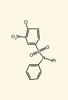 CC(C)N(c1ccccc1)S(=O)(=O)c1ccc(Cl)c([N+](=O)[O-])c1